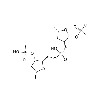 C[C@H]1C[C@H](OP(=O)(O)OC[C@H]2O[C@@H](C)C[C@@H]2OP(C)(=O)O)[C@@H](OP(C)(=O)O)O1